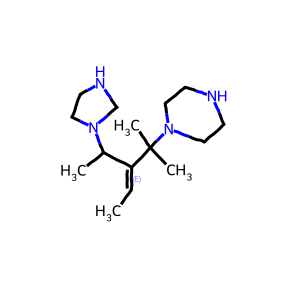 C/C=C(\C(C)N1CCNC1)C(C)(C)N1CCNCC1